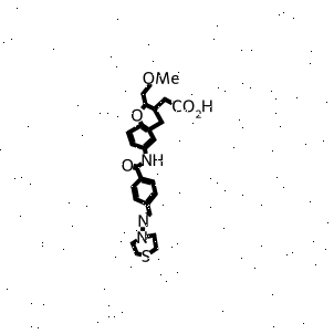 COCCC1Oc2ccc(NC(=O)c3ccc(C=NN4CCSCC4)cc3)cc2CC1CC(=O)O